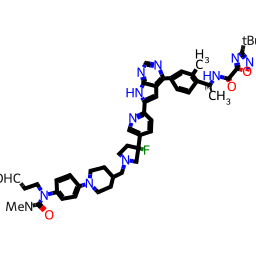 CNC(=O)N(CCC=O)c1ccc(N2CCC(CN3CCC(F)(c4ccc(-c5cc6c(-c7ccc([C@@H](C)NC(=O)c8nc(C(C)(C)C)no8)c(C)c7)ncnc6[nH]5)nc4)C3)CC2)cc1